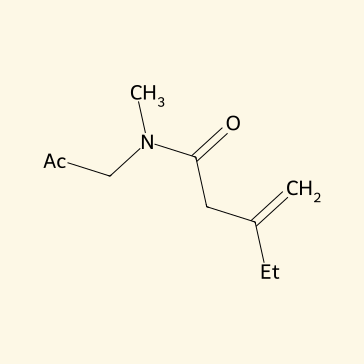 C=C(CC)CC(=O)N(C)CC(C)=O